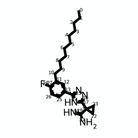 CCCCCCCCCCCc1cc(-c2nnc(C3(C(=N)N)CC3)[nH]2)ccc1F